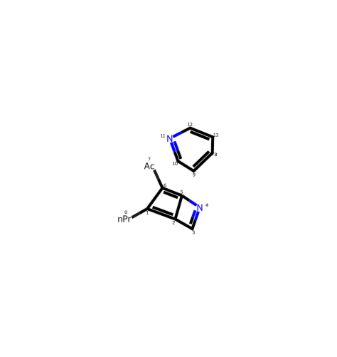 CCCc1c2cnc-2c1C(C)=O.[c]1ccncc1